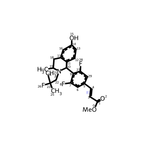 COC(=O)/C=C/c1cc(F)c(C2c3ccc(O)cc3CC(C)N2CC(C)(C)F)c(F)c1